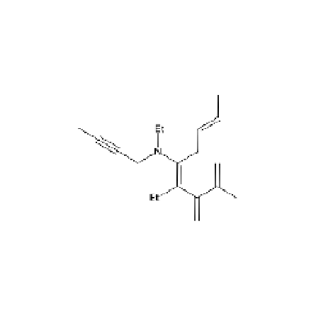 C=C(C)C(=C)/C(CC)=C(\C/C=C/C)N(CC)CC#CC